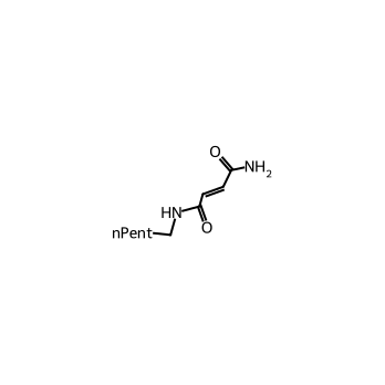 CCCCCCNC(=O)/C=C/C(N)=O